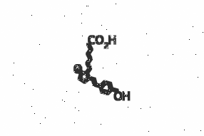 O=C(O)CCCCCCC1C(=O)CCC1/C=C/c1ccc(CO)cc1